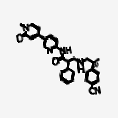 C[C@H](CNCC(C(=O)Nc1ccc(-c2ccn(C)c(=O)c2)cn1)c1ccccc1)c1ccc(C#N)cc1